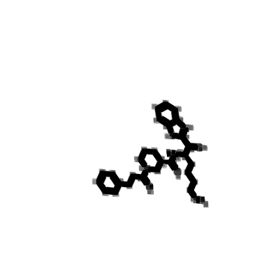 NCCCC[C@@H](NC(=O)[C@@H]1CCCN(C(=O)CCc2ccccc2)C1)C(=O)c1nc2ccccc2s1